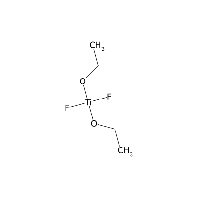 CC[O][Ti]([F])([F])[O]CC